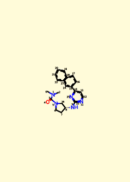 CN(C)C(=O)N1CC[C@@H](Nc2nccc(-c3ccc4ccccc4c3)n2)C1